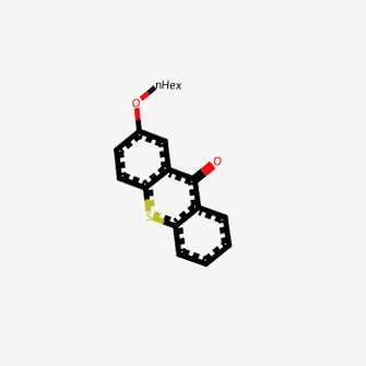 CCCCCCOc1ccc2sc3ccccc3c(=O)c2c1